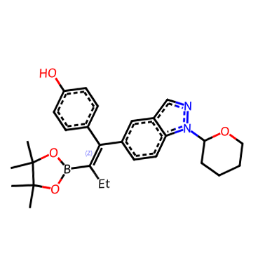 CC/C(B1OC(C)(C)C(C)(C)O1)=C(/c1ccc(O)cc1)c1ccc2c(cnn2C2CCCCO2)c1